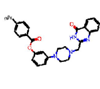 CCCc1ccc(C(=O)Oc2cccc(N3CCN(Cc4nc5ccccc5c(=O)[nH]4)CC3)c2)cc1